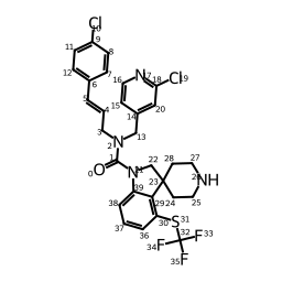 O=C(N(CC=Cc1ccc(Cl)cc1)Cc1ccnc(Cl)c1)N1CC2(CCNCC2)c2c(SC(F)(F)F)cccc21